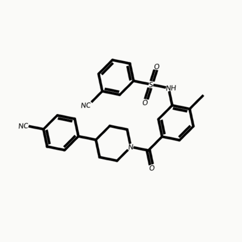 Cc1ccc(C(=O)N2CCC(c3ccc(C#N)cc3)CC2)cc1NS(=O)(=O)c1cccc(C#N)c1